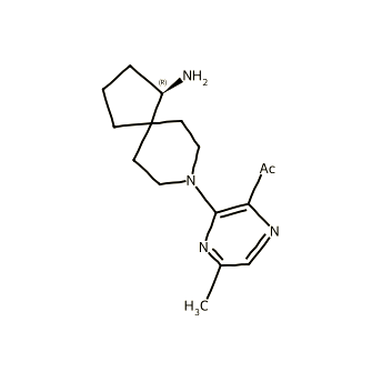 CC(=O)c1ncc(C)nc1N1CCC2(CCC[C@H]2N)CC1